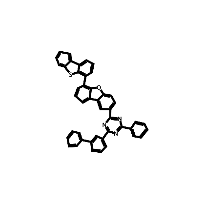 c1ccc(-c2cccc(-c3nc(-c4ccccc4)nc(-c4ccc5oc6c(-c7cccc8c7sc7ccccc78)cccc6c5c4)n3)c2)cc1